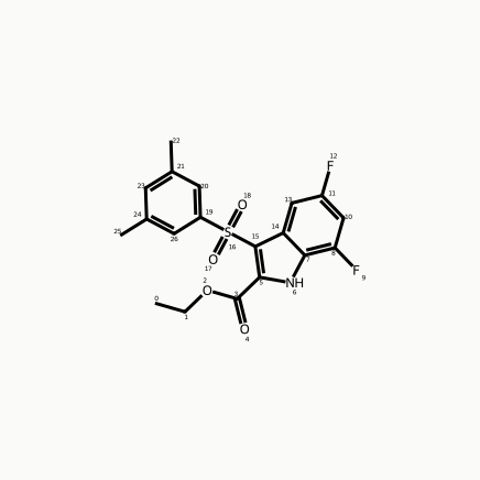 CCOC(=O)c1[nH]c2c(F)cc(F)cc2c1S(=O)(=O)c1cc(C)cc(C)c1